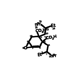 CCCC(CC)CC1(C(=O)O)C=C2OC2CC1(CC(CC)CCC)C(=O)O